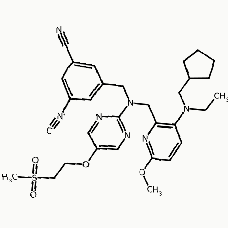 [C-]#[N+]c1cc(C#N)cc(CN(Cc2nc(OC)ccc2N(CC)CC2CCCC2)c2ncc(OCCS(C)(=O)=O)cn2)c1